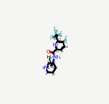 O=C(N[C@@H]1CC2CCN(CC2)C1)c1ccc(F)c(C(F)(F)F)n1